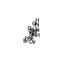 O=C(NC(CC1CC1)C(=O)NC(C[C@@H]1CCCNC1=O)C(=O)O)c1cc2c(F)ccc(Br)c2[nH]1